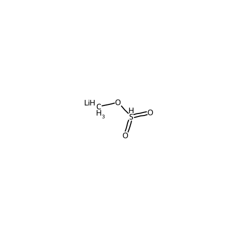 CO[SH](=O)=O.[LiH]